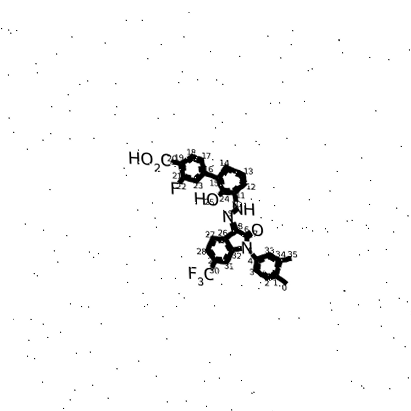 Cc1ccc(N2C(=O)/C(=N\Nc3cccc(-c4ccc(C(=O)O)c(F)c4)c3O)c3ccc(C(F)(F)F)cc32)cc1C